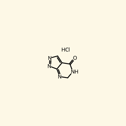 Cl.O=C1NCN=C2N=NC=C12